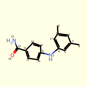 Cc1cc(C)cc(Nc2ccc(C(N)=O)cc2)c1